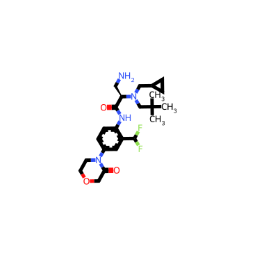 CC(C)(C)CN(CC1CC1)[C@H](CN)C(=O)Nc1ccc(N2CCOCC2=O)cc1C(F)F